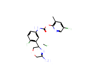 Cc1cc(Br)cnc1OC(=O)Nc1ccc(F)c([C@]2(CF)COCC(N)=N2)c1